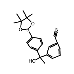 CC(O)(c1ccc(B2OC(C)(C)C(C)(C)O2)cc1)c1cccc(C#N)c1